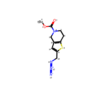 CC(C)(C)OC(=O)N1CCc2sc(CN=[N+]=[N-])cc2C1